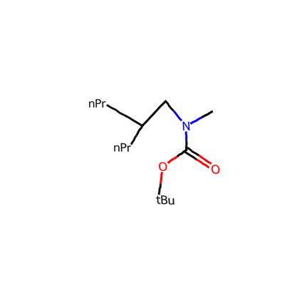 CCCC(CCC)CN(C)C(=O)OC(C)(C)C